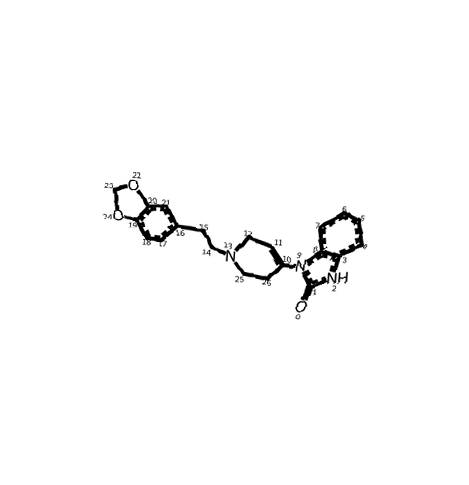 O=c1[nH]c2ccccc2n1C1=CCN(CCc2ccc3c(c2)OCO3)CC1